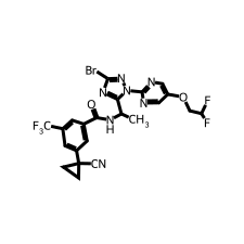 CC(NC(=O)c1cc(C(F)(F)F)cc(C2(C#N)CC2)c1)c1nc(Br)nn1-c1ncc(OCC(F)F)cn1